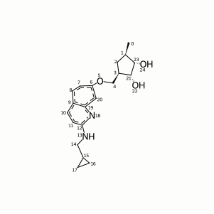 C[C@@H]1C[C@H](COc2ccc3ccc(NCC4CC4)nc3c2)[C@@H](O)[C@H]1O